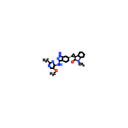 COc1cnc(C)nc1Nc1n[nH]c2cc([C@@H]3C[C@@]34C(=O)N(C)c3ccccc34)ccc12